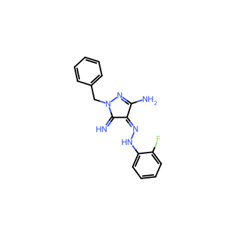 N=C1/C(=N\Nc2ccccc2F)C(N)=NN1Cc1ccccc1